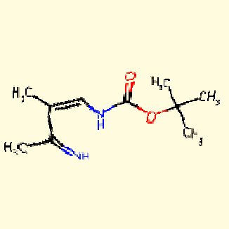 CC(=N)/C(C)=C\NC(=O)OC(C)(C)C